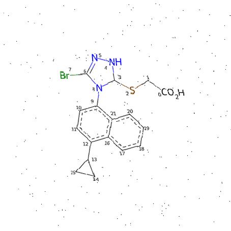 O=C(O)CSC1NN=C(Br)N1c1ccc(C2CC2)c2ccccc12